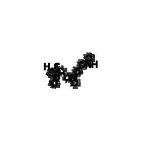 Cc1ccc(-c2ccc3c4ccccc4n(-c4ccc(-c5ccc6c(c5)[nH]c5ccccc56)cc4)c3c2)cc1-c1ccccc1Oc1ccccc1